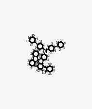 c1ccc(-c2ccc(N(c3ccc(-c4ccccc4)cc3)c3ccc4c(c3)C3(c5ccccc5-c5ccccc53)c3ccc5oc6ccccc6c5c3-4)cc2)cc1